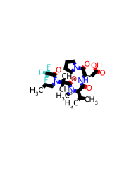 CCCN(C(=O)C(F)(F)F)C(C)(C)C(=O)N(C)C(C(=O)N[C@@H](CC(=O)O)C(=O)N1CCCC1)C(C)C